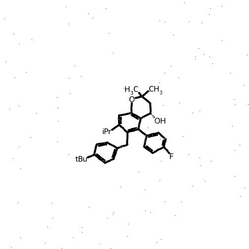 CC(C)c1cc2c(c(-c3ccc(F)cc3)c1Cc1ccc(C(C)(C)C)cc1)[C@@H](O)CC(C)(C)O2